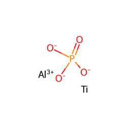 O=P([O-])([O-])[O-].[Al+3].[Ti]